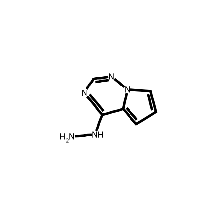 NNc1ncnn2cccc12